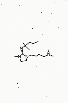 CCCC(C)(C)N=C1N(C)CCN1CCCCN(C)C